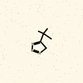 CC(C)(C)C1=NN=NC1